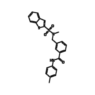 Cc1ccc(NC(=O)c2cccc(CN(C)S(=O)(=O)c3cc4ccccc4s3)c2)cc1